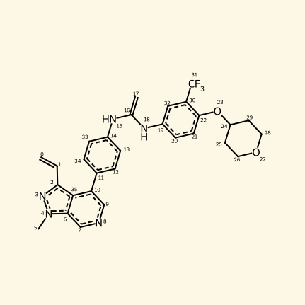 C=Cc1nn(C)c2cncc(-c3ccc(NC(=C)Nc4ccc(OC5CCOCC5)c(C(F)(F)F)c4)cc3)c12